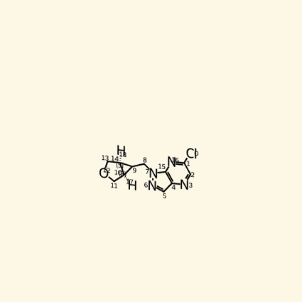 Clc1cnc2cnn(CC3[C@H]4COC[C@@H]34)c2n1